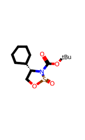 CC(C)(C)OC(=O)N1[C@@H](C2CCCCC2)COS1=O